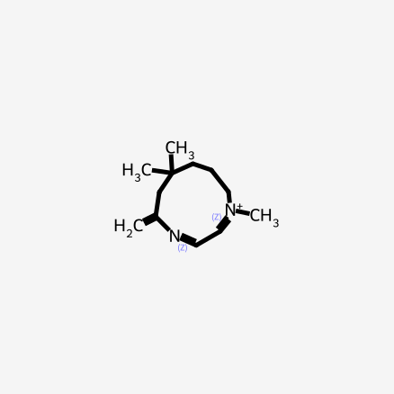 C=C1CC(C)(C)CCC/[N+](C)=C\C=N/1